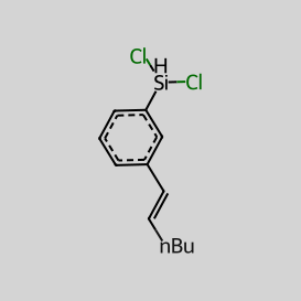 CCCCC=Cc1cccc([SiH](Cl)Cl)c1